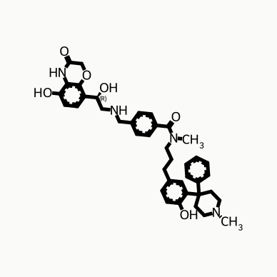 CN1CCC(c2ccccc2)(c2cc(CCCN(C)C(=O)c3ccc(CNC[C@H](O)c4ccc(O)c5c4OCC(=O)N5)cc3)ccc2O)CC1